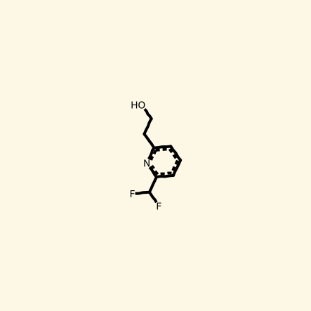 OCCc1cccc(C(F)F)n1